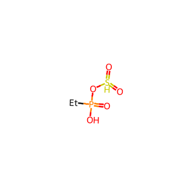 CCP(=O)(O)O[SH](=O)=O